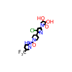 O=C(Nc1ccc(C(F)(F)F)cn1)N1CC=C(c2ncc(N3CC(O)C(O)C3=O)cc2Cl)CC1